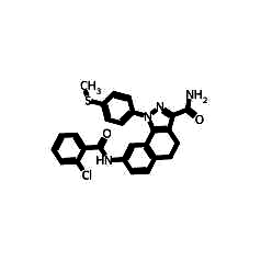 CSc1ccc(-n2nc(C(N)=O)c3c2-c2cc(NC(=O)c4ccccc4Cl)ccc2CC3)cc1